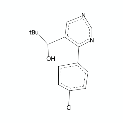 CC(C)(C)C(O)c1cncnc1-c1ccc(Cl)cc1